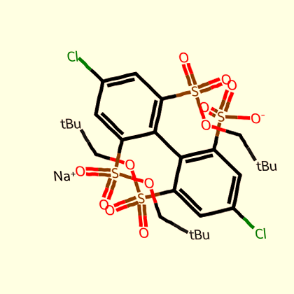 CC(C)(C)COS(=O)(=O)c1cc(Cl)cc(S(=O)(=O)[O-])c1-c1c(S(=O)(=O)OCC(C)(C)C)cc(Cl)cc1S(=O)(=O)OCC(C)(C)C.[Na+]